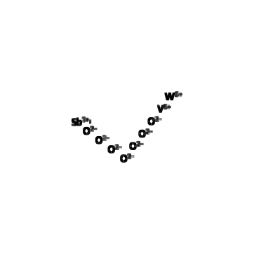 [O-2].[O-2].[O-2].[O-2].[O-2].[O-2].[O-2].[Sb+3].[V+5].[W+6]